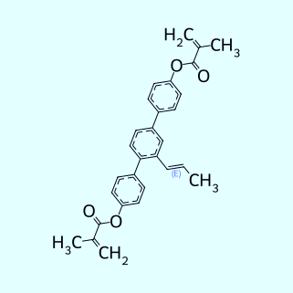 C=C(C)C(=O)Oc1ccc(-c2ccc(-c3ccc(OC(=O)C(=C)C)cc3)c(/C=C/C)c2)cc1